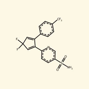 NS(=O)(=O)c1ccc(C2=CC(F)(F)C=C2c2ccc(C(F)(F)F)cc2)nc1